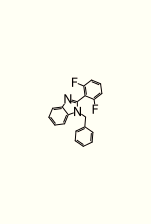 Fc1cccc(F)c1-c1nc2ccccc2n1Cc1ccccc1